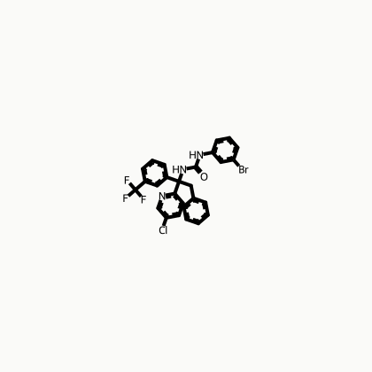 O=C(Nc1cccc(Br)c1)NC(Cc1ccccc1)(c1cccc(C(F)(F)F)c1)c1ccc(Cl)cn1